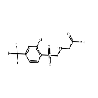 O=C(O)CNCS(=O)(=O)c1ccc(C(F)(F)F)cc1Cl